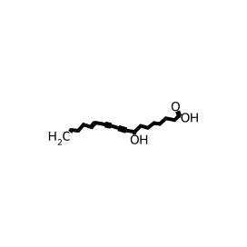 C=CCCC=CC#CC#CC(O)CCCCCCC(=O)O